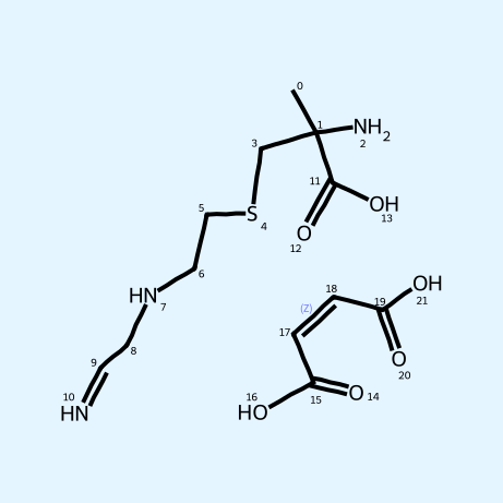 CC(N)(CSCCNCC=N)C(=O)O.O=C(O)/C=C\C(=O)O